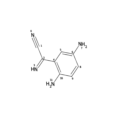 N#CC(=N)c1cc(N)ccc1N